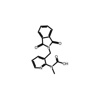 CN(C(=O)O)c1ncccc1CN1C(=O)c2ccccc2C1=O